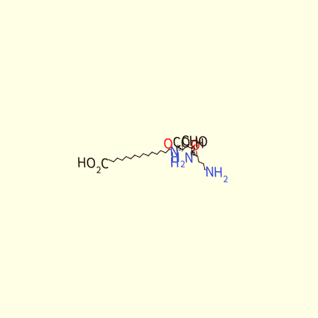 NCCCC[C@H](N)C(=O)C([C]=O)C[C@H](NC(=O)CCCCCCCCCCCCCCC(=O)O)C(=O)O